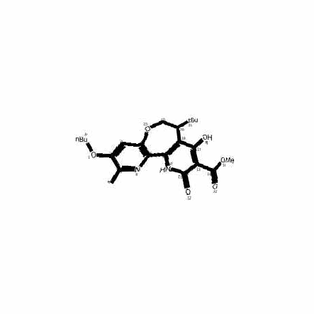 CCCCOc1cc2c(nc1C)-c1[nH]c(=O)c(C(=O)OC)c(O)c1C(C(C)(C)C)CO2